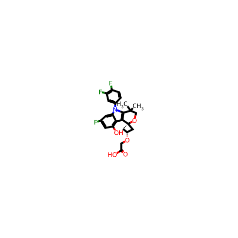 CC1(C)CO[C@]2(C[C@@H](OCC(=O)O)C2)c2c1n(-c1ccc(F)c(F)c1)c1cc(F)cc(O)c12